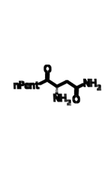 CCCCCC(=O)[C@@H](N)CC(N)=O